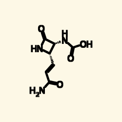 NC(=O)C=C[C@@H]1NC(=O)[C@@H]1NC(=O)O